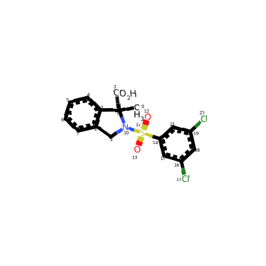 CC1(C(=O)O)c2ccccc2CN1S(=O)(=O)c1cc(Cl)cc(Cl)c1